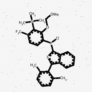 COCOc1c(P(Cl)c2sc(-c3c(C)cccc3C)c3ccccc23)ccc(C(F)(F)F)c1[Si](C)(C)C